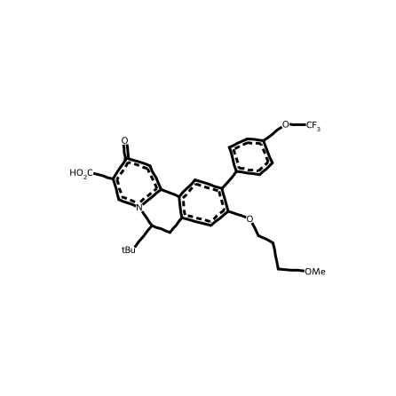 COCCCOc1cc2c(cc1-c1ccc(OC(F)(F)F)cc1)-c1cc(=O)c(C(=O)O)cn1C(C(C)(C)C)C2